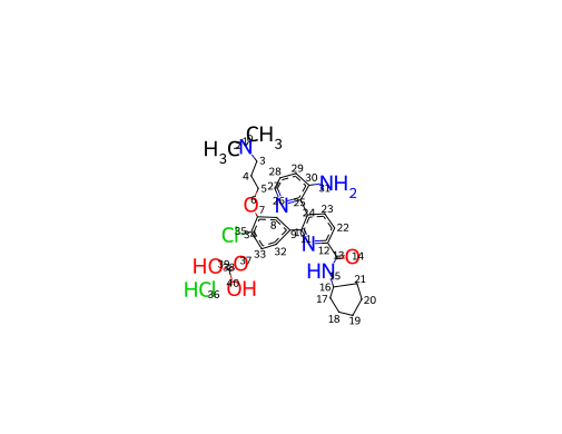 CN(C)CCCOc1cc(-c2nc(C(=O)NC3CCCCC3)ccc2-c2ncccc2N)ccc1Cl.Cl.O=C(O)O